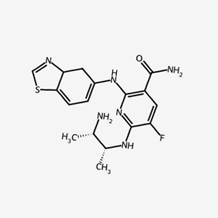 C[C@H](N)[C@@H](C)Nc1nc(NC2=CC=C3SC=NC3C2)c(C(N)=O)cc1F